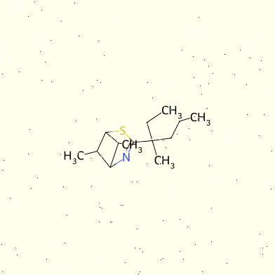 CCCC(C)(CC)C1=NC2C(C)C(S1)C2C